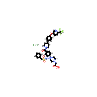 Cl.O=C(O)CN1CCN(c2ccc(C(=O)N3CCC(c4ccc(Oc5ccc(C(F)(F)F)nc5)cc4)CC3)cc2NS(=O)(=O)Cc2ccccc2)CC1